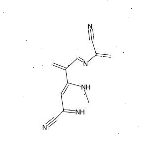 C=C(C#N)/N=C/C(=C)/C(=C/C(=N)C#N)NC